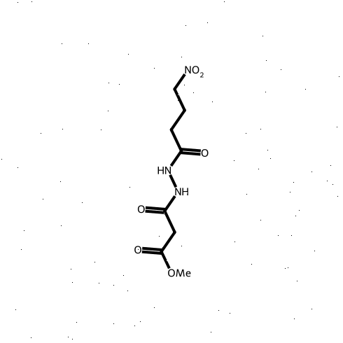 COC(=O)CC(=O)NNC(=O)CCC[N+](=O)[O-]